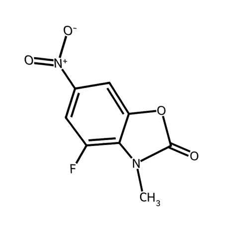 Cn1c(=O)oc2cc([N+](=O)[O-])cc(F)c21